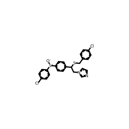 [O-][S+](c1ccc(Cl)cc1)c1ccc(C(Cn2ccnc2)SCc2ccc(Cl)cc2)cc1